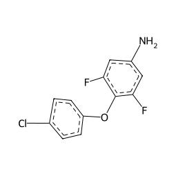 Nc1cc(F)c(Oc2ccc(Cl)cc2)c(F)c1